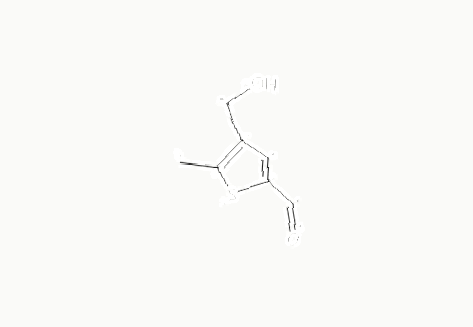 Cc1sc(C=O)cc1CO